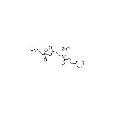 [NH-]CCS(=O)(=O)OC(=O)CC[N-]C(=O)OCc1ccccc1.[Zn+2]